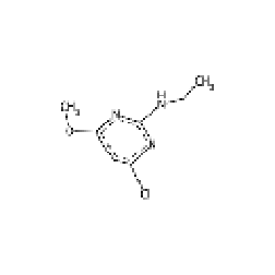 CCNc1nc(Cl)cc(OC)n1